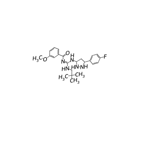 COc1cccc(C(=O)/N=C(/NCC(C)(C)C)NC2CC(c3ccc(F)cc3)NN2)c1